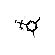 FC(F)(F)C(F)(c1cc(I)[c]c(I)c1)C(F)(F)F